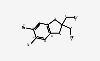 BrCC1(CBr)Cc2cc(Br)c(Br)cc2C1